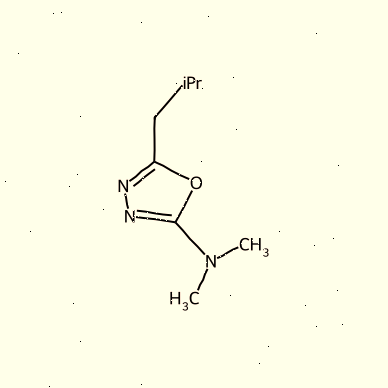 CC(C)Cc1nnc(N(C)C)o1